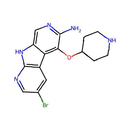 Nc1ncc2[nH]c3ncc(Br)cc3c2c1OC1CCNCC1